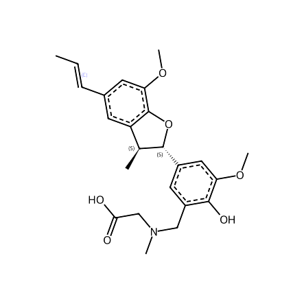 C/C=C/c1cc(OC)c2c(c1)[C@H](C)[C@@H](c1cc(CN(C)CC(=O)O)c(O)c(OC)c1)O2